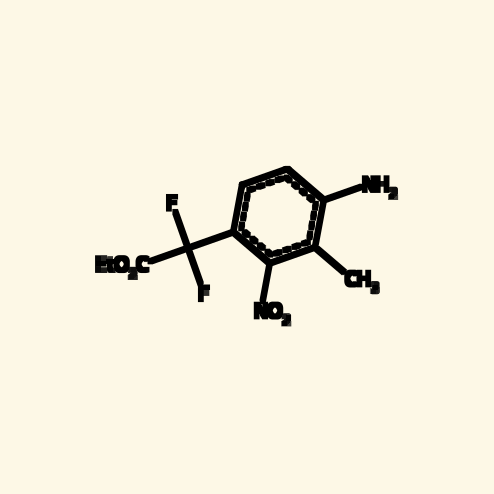 CCOC(=O)C(F)(F)c1ccc(N)c(C)c1[N+](=O)[O-]